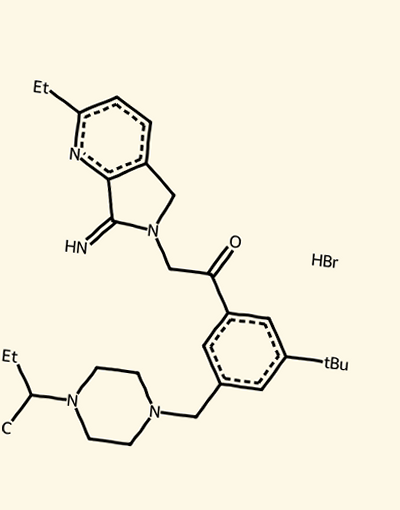 Br.CCc1ccc2c(n1)C(=N)N(CC(=O)c1cc(CN3CCN(C(CC)C(=O)O)CC3)cc(C(C)(C)C)c1)C2